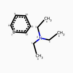 CCN(CC)CC.b1ccccc1